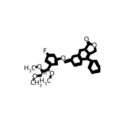 COC[C@@H](OC)[C@@H](OC)c1cc(F)cc(OC=C2C=CC3=C(C2)CC2C(=O)OCC2=C3c2ccccc2)c1